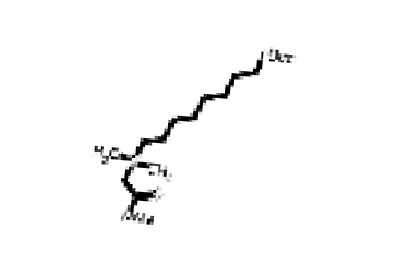 CCCCCCCCCCCCCCCCCC[Si](C)(C)CC(=O)NC